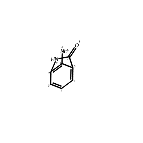 [NH]c1c2cccc1C(=O)N2